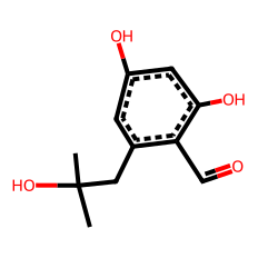 CC(C)(O)Cc1cc(O)cc(O)c1C=O